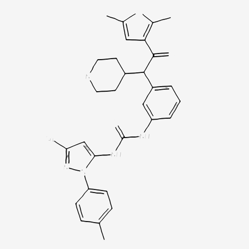 Cc1ccc(-n2nc(C(C)(C)C)cc2NC(=O)Nc2cccc(C(C(=O)c3cc(C)oc3C)C3CCNCC3)c2)cc1